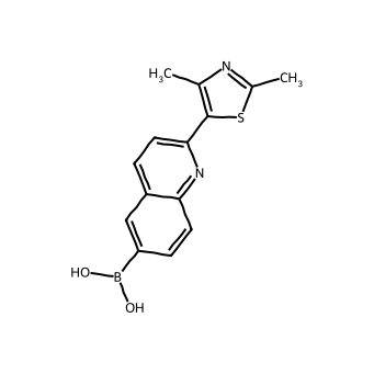 Cc1nc(C)c(-c2ccc3cc(B(O)O)ccc3n2)s1